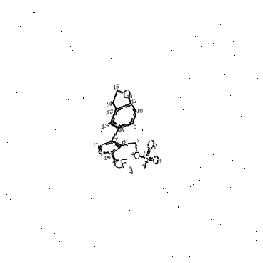 CS(=O)(=O)OCc1c(-c2ccc3c(c2)CCO3)csc1C(F)(F)F